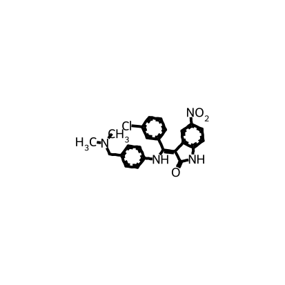 CN(C)Cc1ccc(N/C(=C2\C(=O)Nc3ccc([N+](=O)[O-])cc32)c2cccc(Cl)c2)cc1